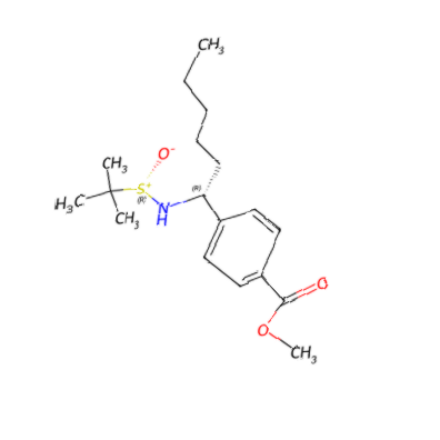 CCCCC[C@@H](N[S@@+]([O-])C(C)(C)C)c1ccc(C(=O)OC)cc1